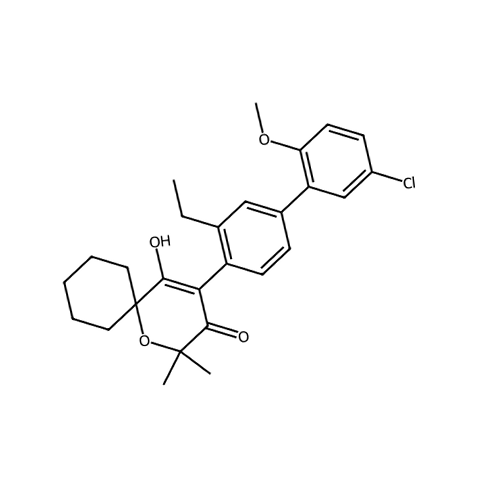 CCc1cc(-c2cc(Cl)ccc2OC)ccc1C1=C(O)C2(CCCCC2)OC(C)(C)C1=O